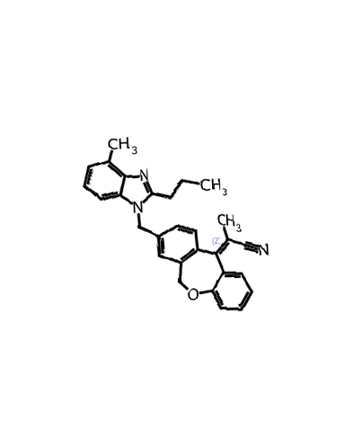 CCCc1nc2c(C)cccc2n1Cc1ccc2c(c1)COc1ccccc1/C2=C(/C)C#N